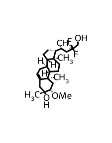 CO[C@H]1C[C@@]2(C)C(=CC[C@H]3[C@@H]4CC[C@H]([C@H](C)CC(F)(F)CO)[C@@]4(C)CC[C@@H]32)C[C@@]1(C)O